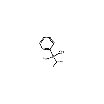 CC(C)[Si](O)(O)c1ccccc1